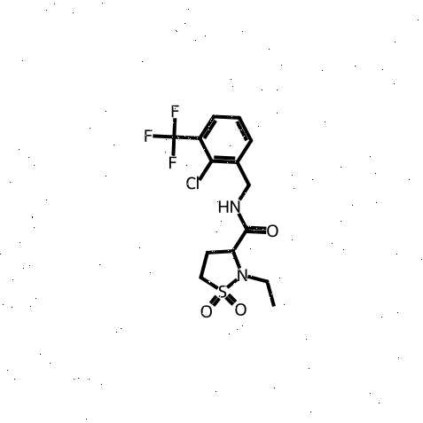 CCN1C(C(=O)NCc2cccc(C(F)(F)F)c2Cl)CCS1(=O)=O